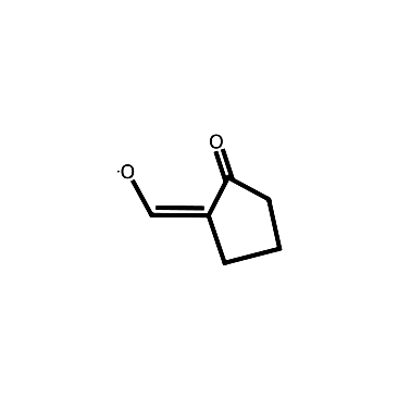 [O]/C=C1/CCCC1=O